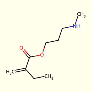 C=C(CC)C(=O)OCCCNC